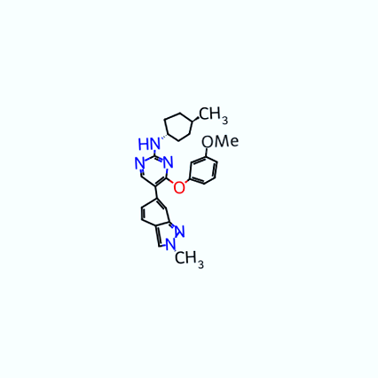 COc1cccc(Oc2nc(N[C@H]3CC[C@H](C)CC3)ncc2-c2ccc3cn(C)nc3c2)c1